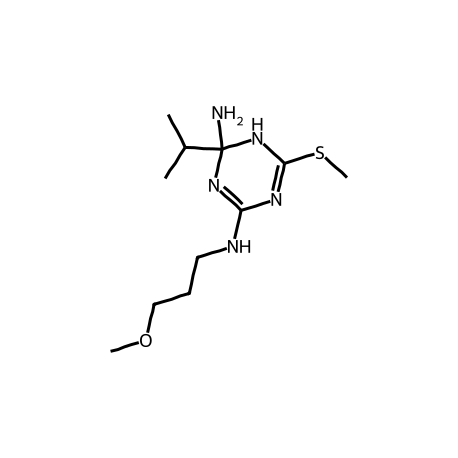 COCCCNC1=NC(N)(C(C)C)NC(SC)=N1